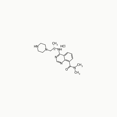 C[C@@H](CN1CCNCC1)Nc1ncnc2c(C(=O)N(C)C)cccc12.Cl